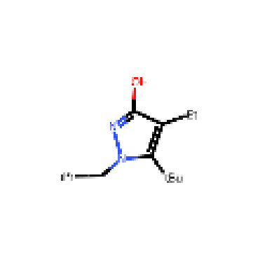 CCc1c(O)nn(CC(C)C)c1C(C)(C)C